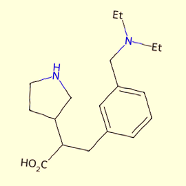 CCN(CC)Cc1cccc(CC(C(=O)O)C2CCNC2)c1